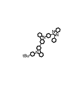 CC(C)(C)c1ccc(-n2c3ccccc3c3cc(-c4ccc5c(c4)c4ccccc4n5-c4ccc(-c5nc6ccccc6nc5-c5ccccc5)cc4)ccc32)cc1